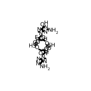 Nc1nc2c(ncn2[C@@H]2O[C@@H]3CO[P@](=O)(S)O[C@@H]4C(CO[P@@](=O)(S)O[C@H]3[C@H]2F)O[C@@H](n2cnc3c(N)ncnc32)[C@@H]4F)c(=O)[nH]1